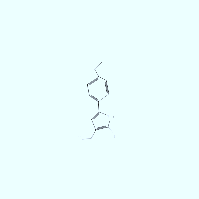 Cc1oc(-c2ccc(CF)cc2)cc1CO